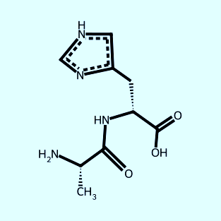 C[C@H](N)C(=O)N[C@H](Cc1c[nH]cn1)C(=O)O